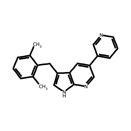 Cc1cccc(C)c1Cc1c[nH]c2ncc(-c3cccnc3)cc12